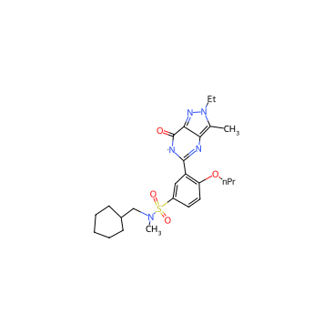 CCCOc1ccc(S(=O)(=O)N(C)CC2CCCCC2)cc1C1=Nc2c(nn(CC)c2C)C(=O)[N]1